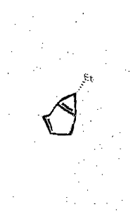 CC[C@H]1C2=C1CC=C2